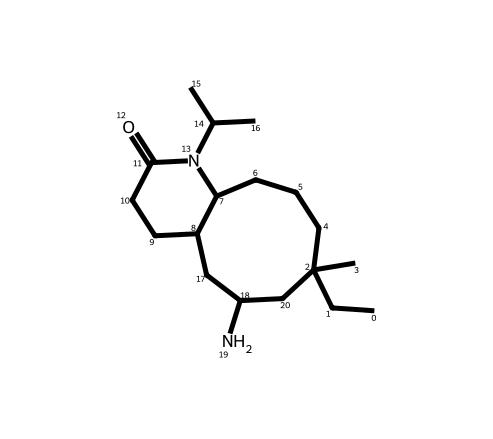 CCC1(C)CCCC2C(CCC(=O)N2C(C)C)CC(N)C1